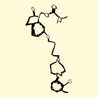 CNC(=O)OCN1C(=O)CCc2ccc(OCCCCN3CCN(c4cccc(C)c4Cl)CC3)cc21